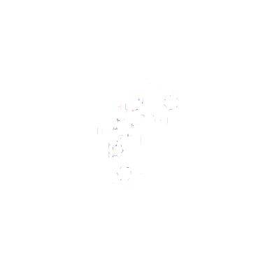 CN(CC1CC1)C(=O)[C@@H](S[C@@H]1O[C@H](CO)[C@H](O)[C@H](n2cc(-c3cc(F)c(F)c(F)c3)nn2)[C@H]1O)[C@@H](O)Cc1ccccc1